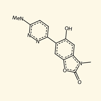 CNc1ccc(-c2cc3oc(=O)n(C)c3cc2O)nn1